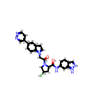 O=C(Nc1ccc2cn[nH]c2c1)C1CC(F)CN1C(=O)Cn1ccc2cc(-c3ccnnc3)ccc21